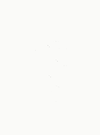 CCC(=O)N(c1ccccc1)[C@H]1CC(C)N(C(=O)c2cc(-c3ccc(Cl)cc3)no2)c2ccccc21